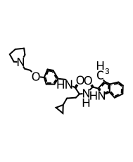 Cc1c(C(=O)NC(CCC2CC2)C(=O)NCc2ccc(OCCN3CCCCC3)cc2)[nH]c2ccccc12